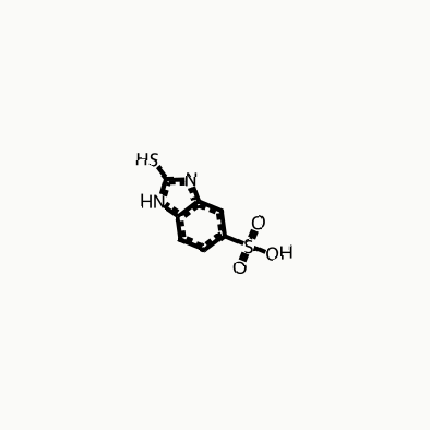 O=S(=O)(O)c1ccc2[nH]c(S)nc2c1